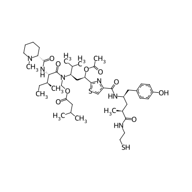 CC[C@H](C)[C@H](NC(=O)[C@H]1CCCCN1C)C(=O)N(COC(=O)CC(C)C)[C@H](C[C@@H](OC(C)=O)c1nc(C(=O)N[C@@H](Cc2ccc(O)cc2)C[C@H](C)C(=O)NCCS)cs1)C(C)C